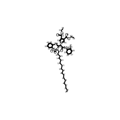 CCCCCCCCCCCCCCCCCCN1C(C(C(=O)Nc2ccccc2F)n2cc(C(=O)OCC)c(C(=O)OCC)c2)=Nc2ccccc2S1(=O)=O